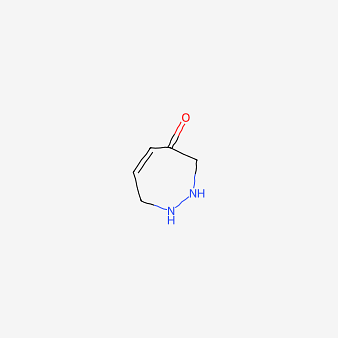 O=C1C=CCNNC1